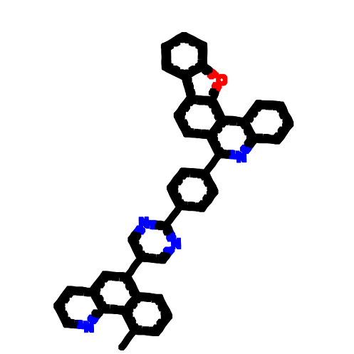 Cc1cccc2c(-c3cnc(-c4ccc(-c5nc6ccccc6c6c5ccc5c7ccccc7oc56)cc4)nc3)cc3cccnc3c12